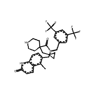 Cc1c(CN(Cc2cc(C(F)(F)F)cc(C(F)(F)F)c2)C(=O)C2(CC3CC3)CCNCC2)ccc2[nH]c(=O)ccc12